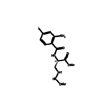 COBNC[C@H](NC(=O)c1ccc(I)cc1N)C(=O)OC